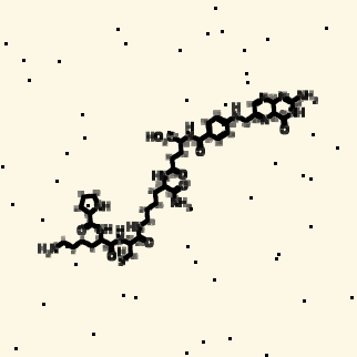 NCCCCC(NC(=O)C1CCCN1)C(=O)NC(CS)C(=O)NCCCCC(NC(=O)CCC(NC(=O)c1ccc(NCC2=NC3C(=O)NC(N)=NC3N=C2)cc1)C(=O)O)C(N)=O